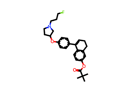 CC(C)(C)C(=O)Oc1ccc2c(c1)CCC=C2c1ccc(OC2CCN(CCCF)C2)cc1